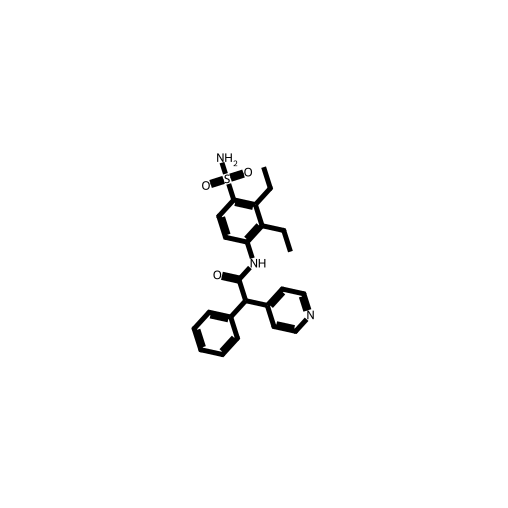 CCc1c(NC(=O)C(c2ccccc2)c2ccncc2)ccc(S(N)(=O)=O)c1CC